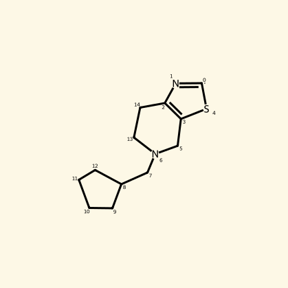 [c]1nc2c(s1)CN(CC1CCCC1)CC2